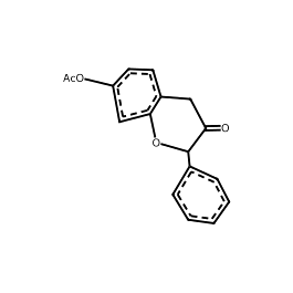 CC(=O)Oc1ccc2c(c1)OC(c1ccccc1)C(=O)C2